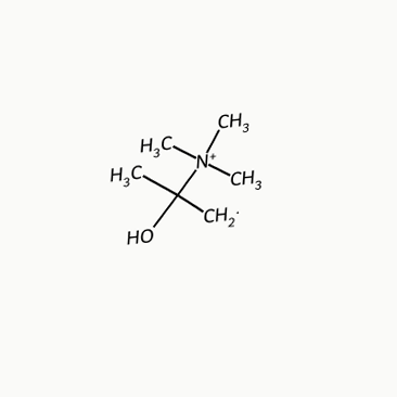 [CH2]C(C)(O)[N+](C)(C)C